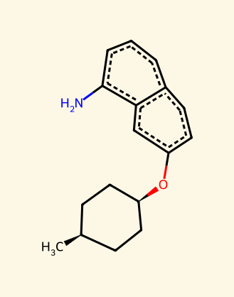 C[C@H]1CC[C@@H](Oc2ccc3cccc(N)c3c2)CC1